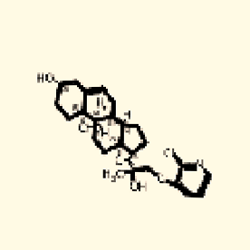 CC(O)(CCc1cccnc1Cl)[C@H]1CC[C@H]2[C@@H]3CC=C4C[C@@H](O)CC[C@]4(C)[C@H]3CC[C@]12C